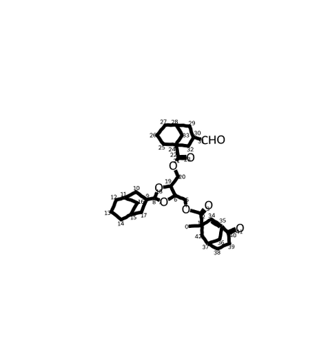 CC1(C(=O)OCC2OC(C3CC4CCCC(C4)C3)OC2COC(=O)C23CCCC(CC(C=O)C2)C3)C=C2CC(CCC2=O)C1